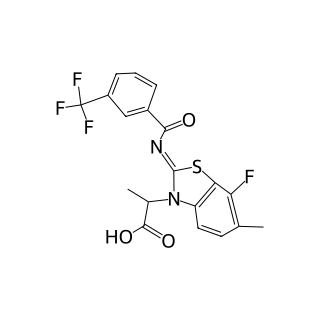 Cc1ccc2c(s/c(=N\C(=O)c3cccc(C(F)(F)F)c3)n2C(C)C(=O)O)c1F